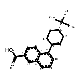 O=C(O)c1ccc2c(C3=CC[C@@H](C(F)(F)F)CC3)cccc2c1